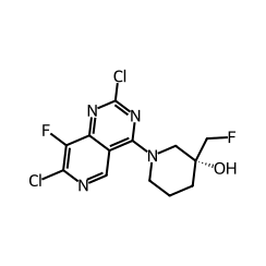 O[C@]1(CF)CCCN(c2nc(Cl)nc3c(F)c(Cl)ncc23)C1